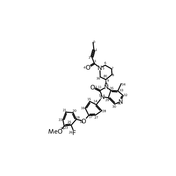 CC#CC(=O)N1CCC[C@@H](n2c(=O)n(-c3ccc(Oc4cccc(OC)c4F)cc3)c3cncc(C)c32)C1